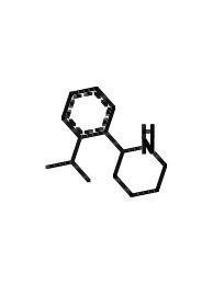 CC(C)c1ccccc1C1CCCCN1